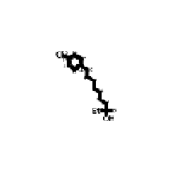 CCC(C)(O)CCCCCCCc1ccc(Cl)cc1